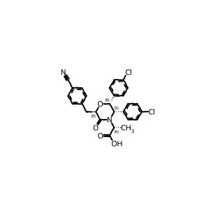 C[C@H](C(=O)O)N1C(=O)[C@@H](Cc2ccc(C#N)cc2)O[C@H](c2ccc(Cl)cc2)[C@@H]1c1ccc(Cl)cc1